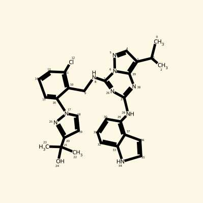 CC(C)c1cnn2c(NCc3c(Cl)cccc3-n3ccc(C(C)(C)O)n3)nc(Nc3cccc4[nH]ccc34)nc12